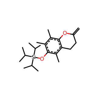 C=C1CCc2c(C)c(O[Si](C(C)C)(C(C)C)C(C)C)c(C)c(C)c2O1